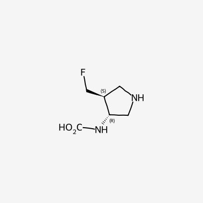 O=C(O)N[C@H]1CNC[C@@H]1CF